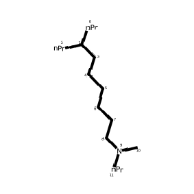 CCCC(CCC)CCCCCCN(C)CCC